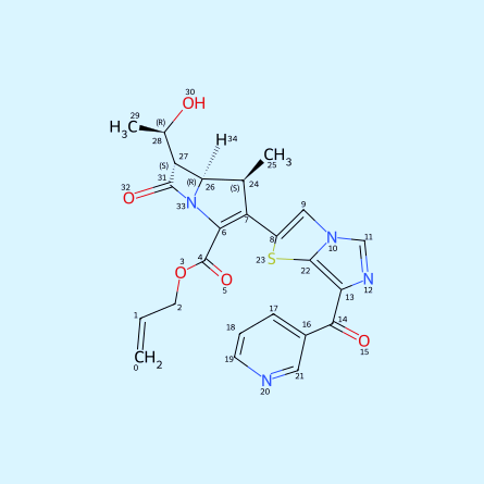 C=CCOC(=O)C1=C(c2cn3cnc(C(=O)c4cccnc4)c3s2)[C@H](C)[C@@H]2[C@@H]([C@@H](C)O)C(=O)N12